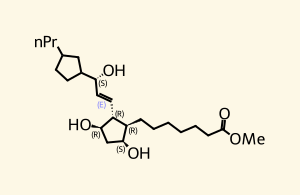 CCCC1CCC([C@H](O)/C=C/[C@@H]2[C@@H](CCCCCCC(=O)OC)[C@@H](O)C[C@H]2O)C1